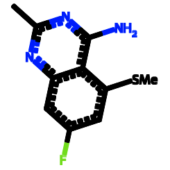 CSc1cc(F)cc2nc(C)nc(N)c12